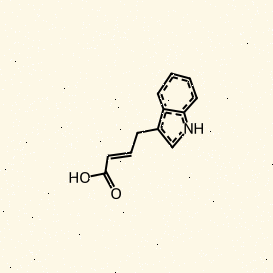 O=C(O)/C=C/Cc1c[nH]c2ccccc12